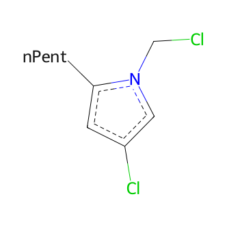 CCCCCc1cc(Cl)cn1CCl